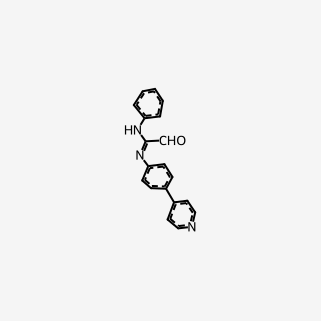 O=C/C(=N\c1ccc(-c2ccncc2)cc1)Nc1ccccc1